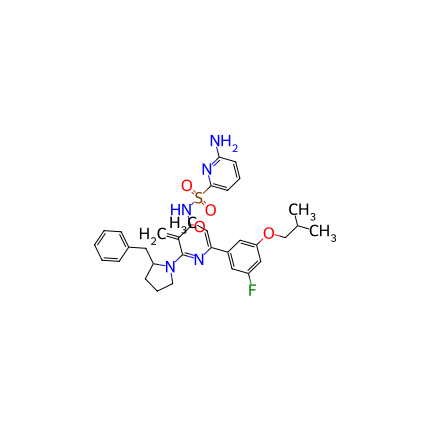 C=C(C(=O)NS(=O)(=O)c1cccc(N)n1)/C(=N\C(=C/C)c1cc(F)cc(OCC(C)C)c1)N1CCCC1Cc1ccccc1